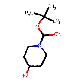 CC(C)(C)OC(O)N1CCC(O)CC1